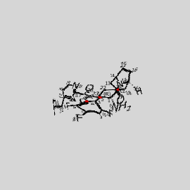 N[C@H](Cc1cc(F)c(F)cc1F)C1CC2CC[C@@H](C1)N2C(=O)CCS(=O)(=O)c1nccc(CF)n1